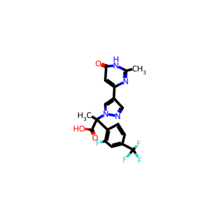 Cc1nc(-c2cnn(C(C)(C(=O)O)c3ccc(C(F)(F)F)cc3F)c2)cc(=O)[nH]1